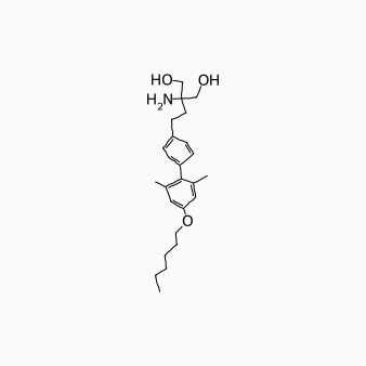 CCCCCCOc1cc(C)c(-c2ccc(CCC(N)(CO)CO)cc2)c(C)c1